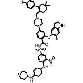 CC1(C)CCC(CN2CCN(c3ccc(C(=O)NS(=O)(=O)c4ccc(NC5CCC(NC6CCOCC6)CC5)c([N+](=O)[O-])c4)c(Oc4cc5cc[nH]c5cc4F)c3)CC2)=C(c2ccc(Cl)cc2)C1